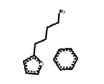 CCC(C)CCCCc1cccs1.c1ccccc1